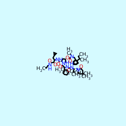 C=CCNC(=O)C(=O)C(CC1CC1)NC(=O)[C@@H]1C[C@@H](OC(=O)N(CC)Cc2ccccc2C(C)CC)CN1C(=O)[C@@H](NC(=O)N[C@H](CN1CCC(C)(C)CC1=O)C(C)(C)C)C1(C)CCCCC1